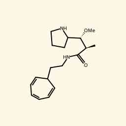 CO[C@@H](C1CCCN1)[C@@H](C)C(=O)NCCC1C=CC=CC=C1